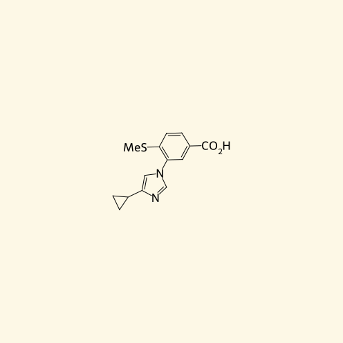 CSc1ccc(C(=O)O)cc1-n1cnc(C2CC2)c1